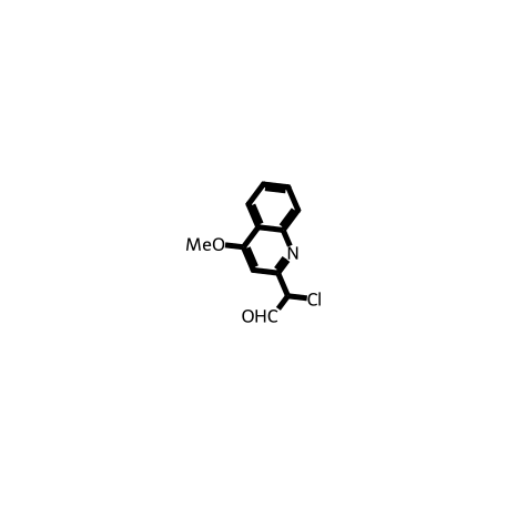 COc1cc(C(Cl)C=O)nc2ccccc12